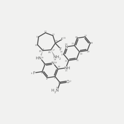 NC(=O)c1cc(F)c(N[C@@H]2CCCCC(F)(F)[C@@H]2N)nc1Nc1cnc2ccccc2c1